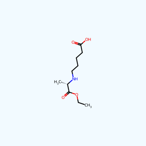 CCOC(=O)[C@H](C)NCCCCC(=O)O